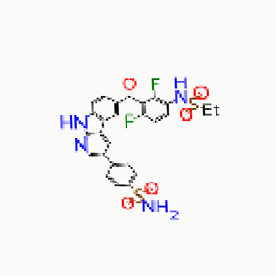 CCS(=O)(=O)Nc1ccc(F)c(C(=O)c2ccc3[nH]c4ncc(-c5ccc(S(N)(=O)=O)cc5)cc4c3c2)c1F